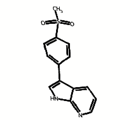 CS(=O)(=O)c1ccc(-c2c[nH]c3ncccc23)cc1